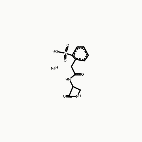 O=C(Cc1ccccc1S(=O)(=O)O)NC1CNC1=O.[NaH]